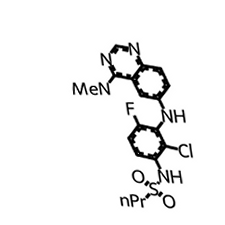 CCCS(=O)(=O)Nc1ccc(F)c(Nc2ccc3ncnc(NC)c3c2)c1Cl